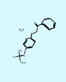 CC(C)(Oc1ccc(CCC(=O)c2ccccc2)cc1)C(=O)O.O